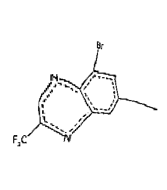 Cc1cc(Br)c2ncc(C(F)(F)F)nc2c1